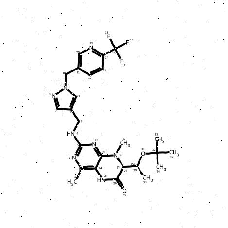 Cc1nc(NCc2cnn(Cc3ccc(C(F)(F)F)nc3)c2)nc2c1NC(=O)[C@H]([C@H](C)OC(C)(C)C)N2C